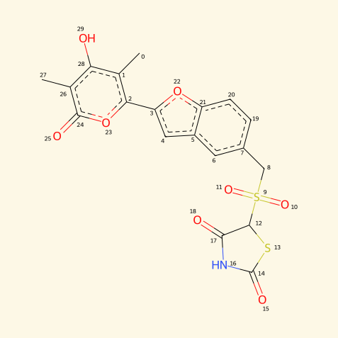 Cc1c(-c2cc3cc(CS(=O)(=O)C4SC(=O)NC4=O)ccc3o2)oc(=O)c(C)c1O